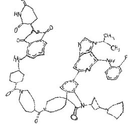 CC(C)n1cnc2cc(-c3ccc4c(c3)N(C3CC(N5CCCCC5)C3)C(=O)C43CCN(C(=O)C4CCN(C(=O)C5CCC(Nc6cccc7c6C(=O)N(C6CCC(=O)NC6=O)C7=O)CC5)CC4)CC3)nc(Nc3ccccc3F)c21